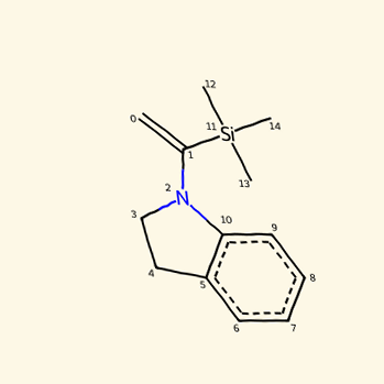 C=C(N1CCc2ccccc21)[Si](C)(C)C